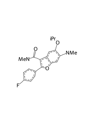 CNC(=O)c1c(-c2ccc(F)cc2)oc2cc(NC)c(OC(C)C)cc12